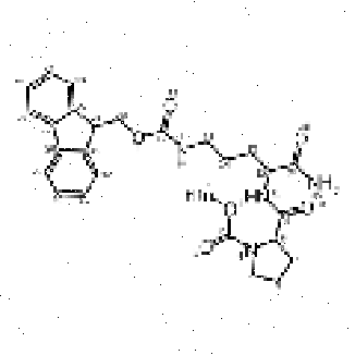 CC(C)(C)OC(=O)N1CCCC1C(=O)NC(CCCNC(=O)OCC1c2ccccc2-c2ccccc21)C(N)=O